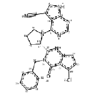 N#Cc1c[nH]c2ncnc(N3CCC[C@H]3c3nn4ccc(Cl)c4c(=O)n3Cc3ccccc3)c12